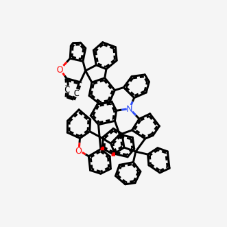 c1ccc(C2(c3ccccc3)c3ccccc3-c3c(N(c4ccccc4-c4cccc5c4-c4ccccc4C54c5ccccc5Oc5ccccc54)c4cccc5c4-c4ccccc4C54c5ccccc5Oc5ccccc54)cccc32)cc1